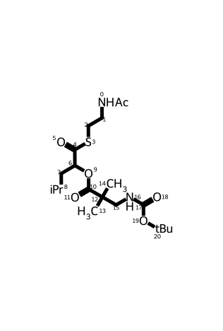 CC(=O)NCCSC(=O)C(CC(C)C)OC(=O)C(C)(C)CNC(=O)OC(C)(C)C